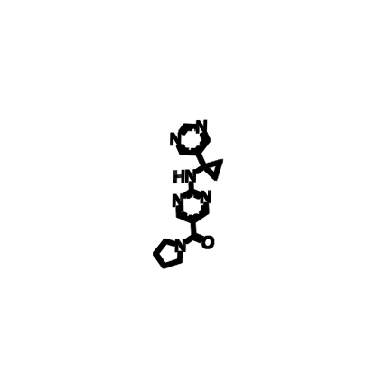 O=C(c1cnc(NC2(c3cncnc3)CC2)nc1)N1CCCC1